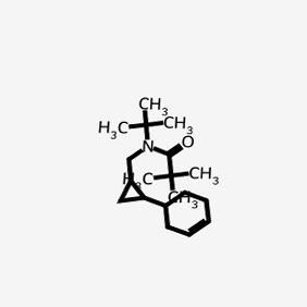 CC(C)(C)C(=O)N(CC1CC1C1CC=CCC1)C(C)(C)C